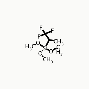 CO[Si](OC)(OC)C(C)C(F)(F)F